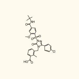 COc1cc(C(=O)NC(C)(C)C)ccc1S(=O)(=O)n1nc(-c2ccc(Cl)cc2)n(Cc2cccc(C(=O)O)c2C)c1=O